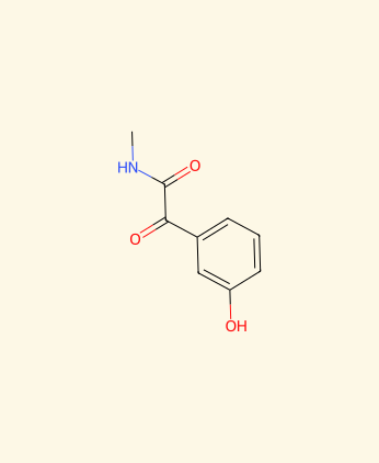 CNC(=O)C(=O)c1cccc(O)c1